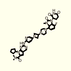 CN(C)C(=O)c1cc2cnc(Nc3ccc(N4CC(N5CCN(c6ccc(F)c7c6n(C)c(=O)n7[C@@H]6CCC(=O)NC6=O)CC5)C4)cn3)nc2n1C1CCCC1